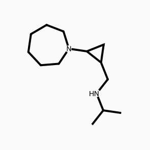 CC(C)NCC1CC1N1CCCCCC1